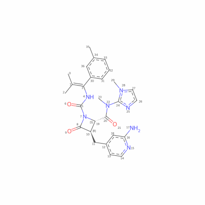 CC(C)=C(NC(=O)N1C(=O)[C@H](Cc2ccnc(N)c2)[C@H]1C(=O)N(C)c1nccn1C)c1cccc(C)c1